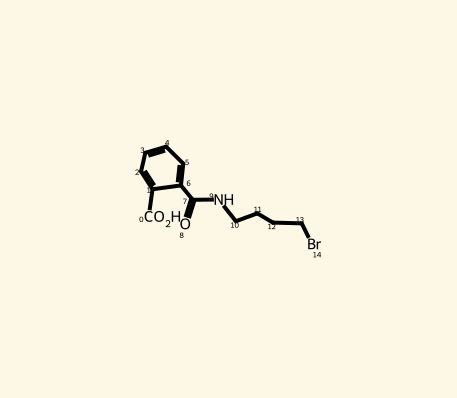 O=C(O)c1ccccc1C(=O)NCCCCBr